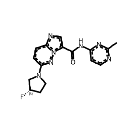 Cc1nccc(NC(=O)c2cnc3ccc(N4CC[C@H](F)C4)nn23)n1